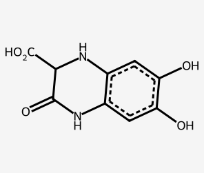 O=C(O)C1Nc2cc(O)c(O)cc2NC1=O